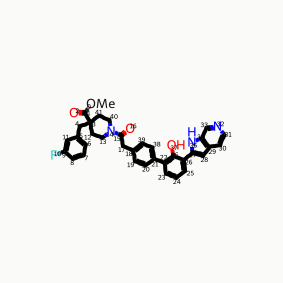 COC(=O)C1(Cc2cccc(F)c2)CCN(C(=O)Cc2ccc(-c3cccc(-c4cc5ccncc5[nH]4)c3O)cc2)CC1